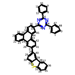 c1ccc(-c2nc(-c3ccccc3)nc(-c3ccc4c5ccccc5c5cc(-c6ccc7sc8ccccc8c7c6)ccc5c4c3)n2)cc1